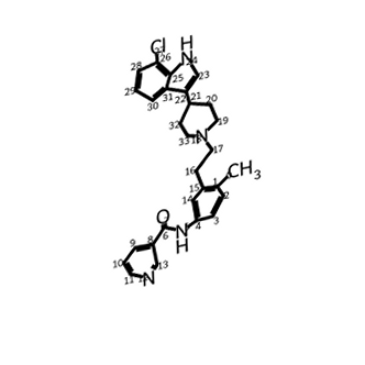 Cc1ccc(NC(=O)c2cccnc2)cc1CCN1CCC(c2c[nH]c3c(Cl)cccc23)CC1